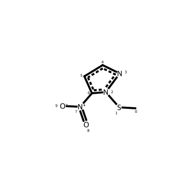 CSn1nccc1[N+](=O)[O-]